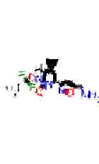 NCc1cc([C@@H]2CC3(CC3)[C@H]3CN2C(=O)N3OC(F)(F)C(=O)O)no1